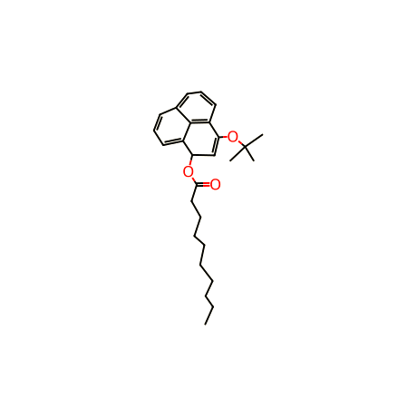 CCCCCCCCCC(=O)OC1C=C(OC(C)(C)C)c2cccc3cccc1c23